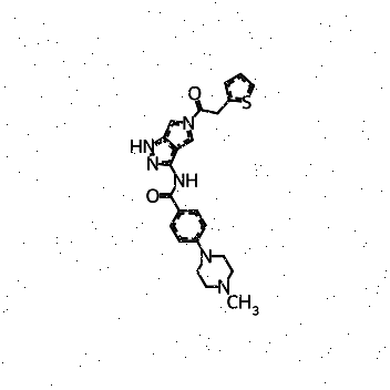 CN1CCN(c2ccc(C(=O)Nc3n[nH]c4cn(C(=O)Cc5cccs5)cc34)cc2)CC1